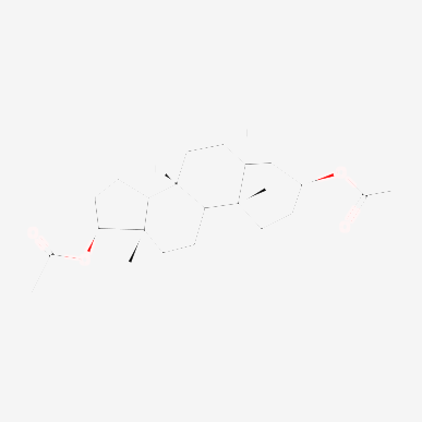 CC(=O)O[C@H]1CC[C@@]2(C)[C@@H](CC[C@@H]3[C@@H]2CC[C@]2(C)[C@@H](OC(C)=O)CC[C@@H]32)C1